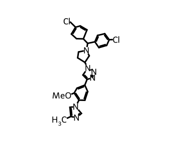 COc1cc(-c2cn(C3CCN(C(c4ccc(Cl)cc4)C4C=CC(Cl)=CC4)C3)nn2)ccc1-n1cnc(C)c1